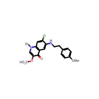 CCn1cc(OC(=O)O)c(=O)c2cc(NCCc3ccc(OC)cc3)c(Cl)cc21